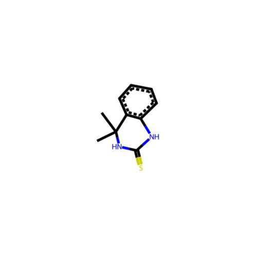 CC1(C)NC(=S)Nc2ccccc21